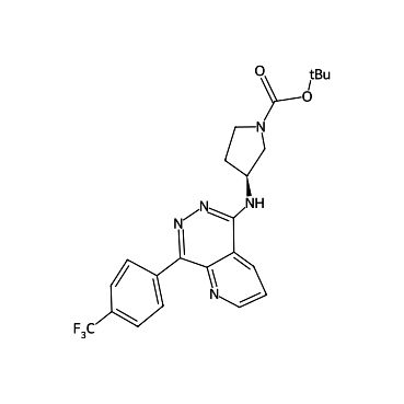 CC(C)(C)OC(=O)N1CC[C@H](Nc2nnc(-c3ccc(C(F)(F)F)cc3)c3ncccc23)C1